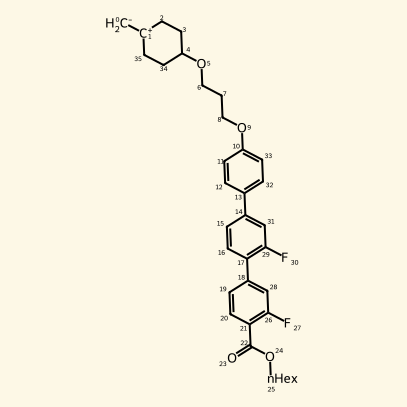 [CH2-][C+]1CCC(OCCCOc2ccc(-c3ccc(-c4ccc(C(=O)OCCCCCC)c(F)c4)c(F)c3)cc2)CC1